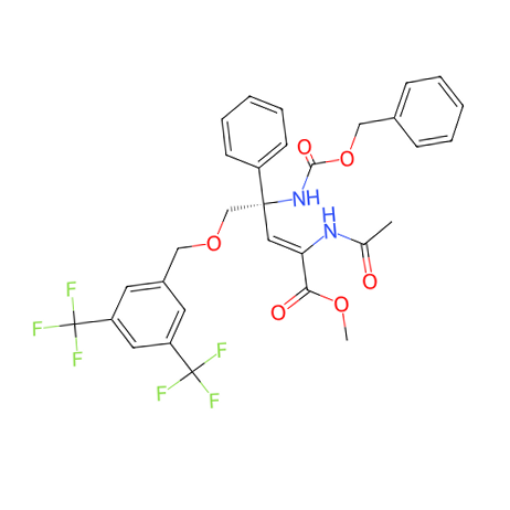 COC(=O)/C(=C/[C@](COCc1cc(C(F)(F)F)cc(C(F)(F)F)c1)(NC(=O)OCc1ccccc1)c1ccccc1)NC(C)=O